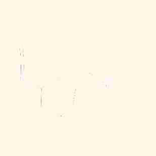 O=C=NC=C1CCCC(N=C=O)C1